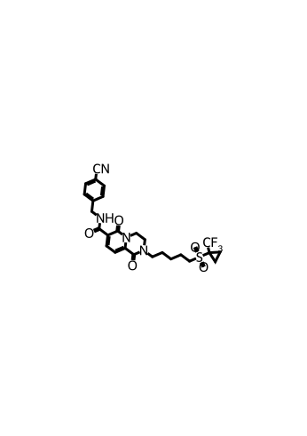 N#Cc1ccc(CNC(=O)c2ccc3n(c2=O)CCN(CCCCCS(=O)(=O)C2(C(F)(F)F)CC2)C3=O)cc1